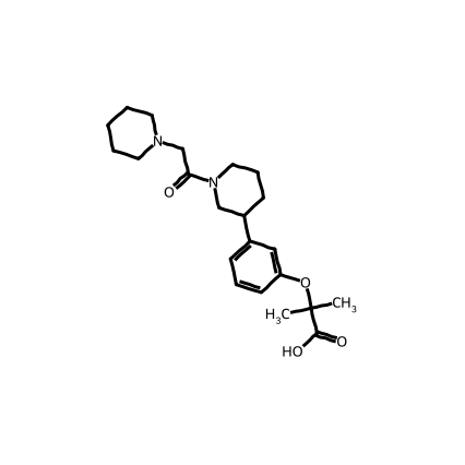 CC(C)(Oc1cccc(C2CCCN(C(=O)CN3CCCCC3)C2)c1)C(=O)O